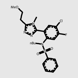 CCCCN(c1cc(F)c(Cl)cc1-c1nnc(CCOC)n1C)S(=O)(=O)c1ccccc1